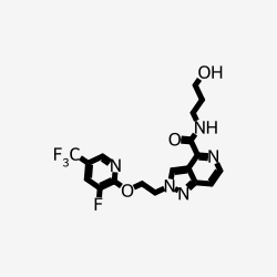 O=C(NCCCO)c1nccc2nn(CCOc3ncc(C(F)(F)F)cc3F)cc12